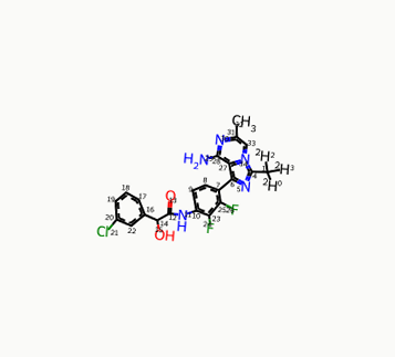 [2H]C([2H])([2H])c1nc(-c2ccc(NC(=O)C(O)c3cccc(Cl)c3)c(F)c2F)c2c(N)nc(C)cn12